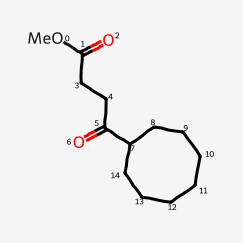 COC(=O)CCC(=O)C1CCCCCCC1